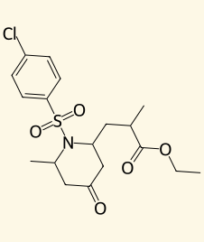 CCOC(=O)C(C)CC1CC(=O)CC(C)N1S(=O)(=O)c1ccc(Cl)cc1